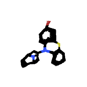 CN1C2CCC1CC(N1c3ccccc3Sc3cc(Br)ccc31)C2